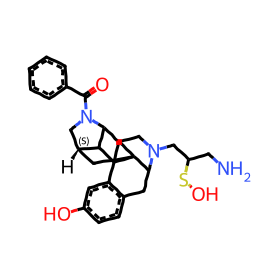 NCC(CN1CCC23c4cc(O)ccc4CC1C21CCC2C3[C@@H](CN2C(=O)c2ccccc2)C1)SO